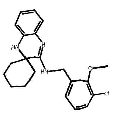 COc1c(Cl)cccc1CNC1=Nc2ccccc2NC12CCCCC2